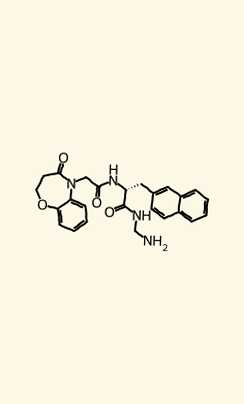 NCNC(=O)[C@@H](Cc1ccc2ccccc2c1)NC(=O)CN1C(=O)CCOc2ccccc21